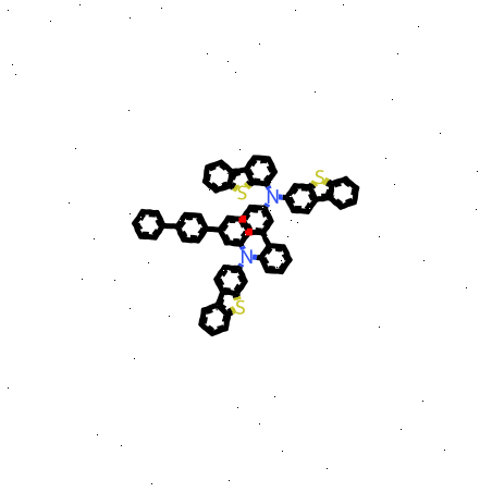 c1ccc(-c2ccc(-c3cccc(N(c4ccc5c(c4)sc4ccccc45)c4ccccc4-c4cccc(N(c5ccc6c(c5)sc5ccccc56)c5cccc6c5sc5ccccc56)c4)c3)cc2)cc1